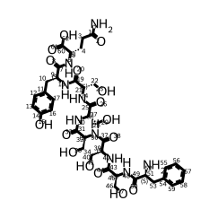 NC(=O)CC[C@H](NC(=O)[C@H](Cc1ccc(O)cc1)NC(=O)[C@H](CO)NC(=O)[C@H](CO)NC(=O)[C@H](CO)NC(=O)[C@H](CO)NC(=O)[C@H](CO)NC(=O)[C@@H](N)Cc1ccccc1)C(=O)O